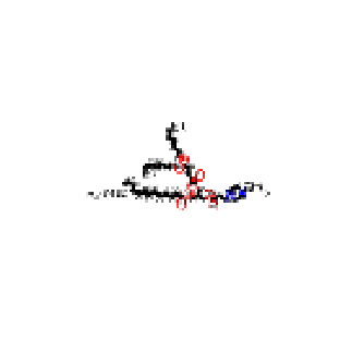 CC/C=C\CCCCOC(CCC(=O)OCC(COC(=O)CCCCCCC/C=C\C/C=C\CCCCC)COC(=O)CCN1CCN(C)CC1)OCCCC/C=C\CC